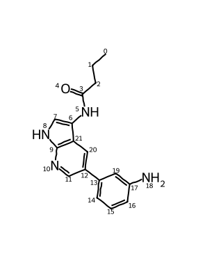 CCCC(=O)Nc1c[nH]c2ncc(-c3cccc(N)c3)cc12